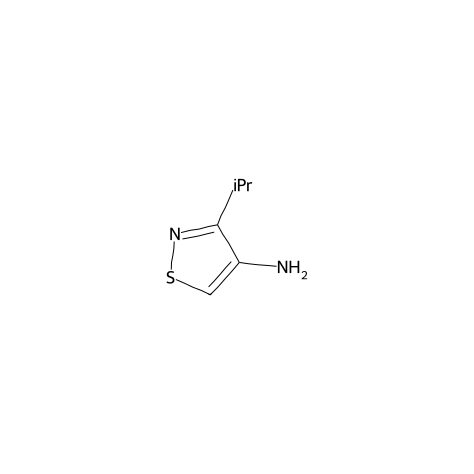 CC(C)c1nscc1N